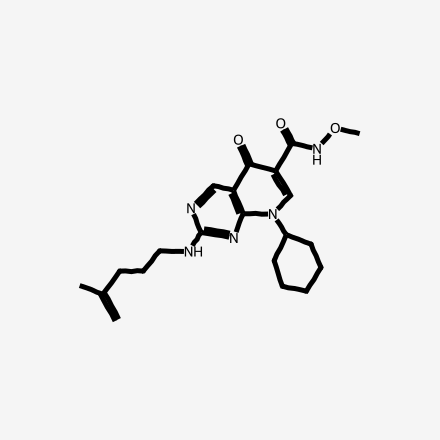 C=C(C)CCCNc1ncc2c(=O)c(C(=O)NOC)cn(C3CCCCC3)c2n1